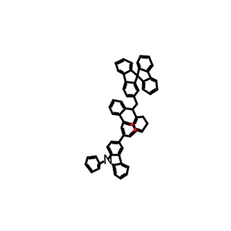 C1=CCCC(C(Cc2ccc3c(c2)C2(c4ccccc4-c4ccccc42)c2ccccc2-3)c2ccccc2-c2cccc(-c3ccc4c(c3)c3ccccc3n4-c3ccccc3)c2)=C1